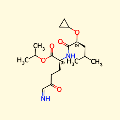 CC(C)C[C@H](OC1CC1)C(=O)N[C@@H](CCC(=O)C=N)C(=O)OC(C)C